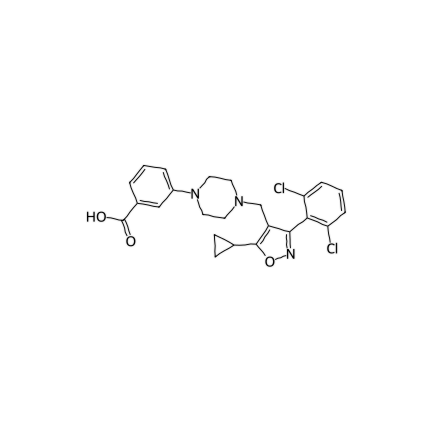 O=C(O)c1cccc(N2CCN(Cc3c(-c4c(Cl)cccc4Cl)noc3C3CC3)CC2)c1